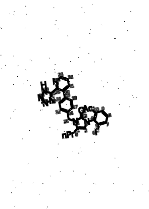 CCCc1cn(-c2c(F)cccc2C(C)=O)c(=O)n1Cc1ccc(-c2cccnc2-c2nnn[nH]2)cc1